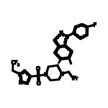 Cc1cc2c(cnn2-c2ccc(F)cc2)cc1[C@H]1CN(S(=O)(=O)c2cnn(CC(F)(F)F)c2)CCN1CC(C)C